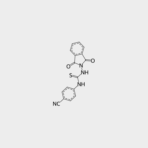 N#Cc1ccc(NC(=S)NN2C(=O)c3ccccc3C2=O)cc1